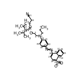 CCCN(CCOP(OCCC#N)N(C(C)C)C(C)C)c1ccc(/N=N/c2ccc([N+](=O)[O-])c3ccccc23)cc1